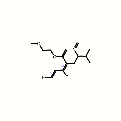 C=NC(C/C(C(=C)OCCOC)=C(F)/C=C/F)C(C)C